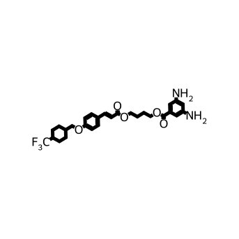 Nc1cc(N)cc(C(=O)OCCCCOC(=O)/C=C/c2ccc(OCC3CCC(C(F)(F)F)CC3)cc2)c1